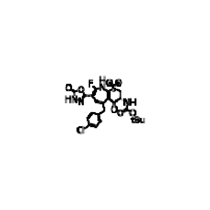 CC(C)(C)OC(=O)N[C@H]1CS(=O)(=O)C2=C(C1=O)C(Cc1ccc(Cl)cc1)=CC(c1n[nH]c(=O)o1)=C(F)N2